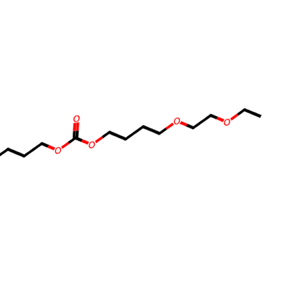 CCCCOC(=O)OCCCCOCCOCC